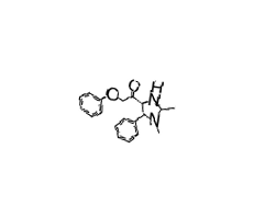 CC1NC(C(=O)COc2ccccc2)C(c2ccccc2)N1C